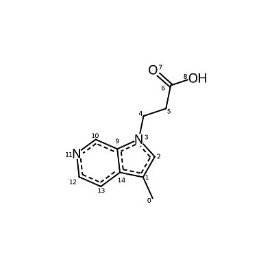 Cc1cn(CCC(=O)O)c2cnccc12